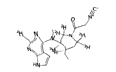 [2H]c1nc(N(C)[C@@]2([2H])C([2H])([2H])N(C(=O)C[N+]#[C-])C([2H])([2H])C[C@@]2([2H])C)c2cc[nH]c2n1